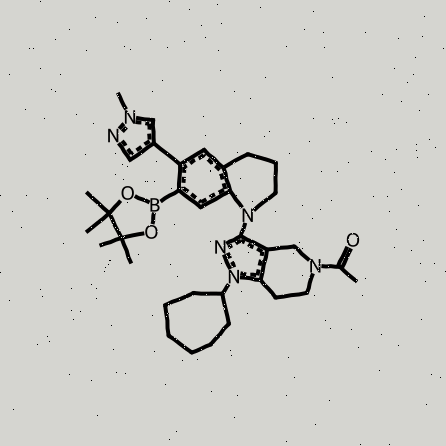 CC(=O)N1CCc2c(c(N3CCCc4cc(-c5cnn(C)c5)c(B5OC(C)(C)C(C)(C)O5)cc43)nn2C2CCCCCC2)C1